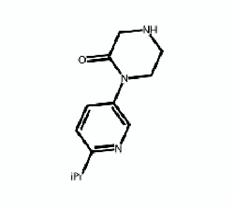 CC(C)c1ccc(N2CCNCC2=O)cn1